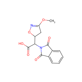 COC1=NOC(C(C(=O)O)N2C(=O)c3ccccc3C2=O)C1